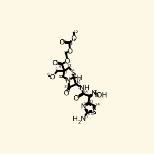 COCC1(C(=O)OCOC(=O)OC)CS[C@@H]2C(NC(=O)C(=NO)c3csc(N)n3)C(=O)N2C1